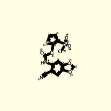 N#Cc1cc2c(cc1NC(=O)Oc1sccc1S(=O)(=O)Cl)OCO2